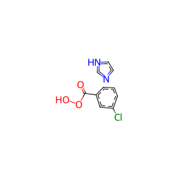 O=C(OO)c1cccc(Cl)c1.c1c[nH]cn1